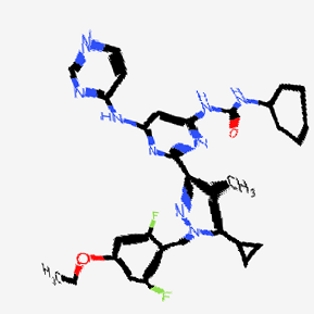 CCOc1cc(F)c(Cn2nc(-c3nc(NC(=O)NC4CCCCC4)cc(Nc4ccncn4)n3)c(C)c2C2CC2)c(F)c1